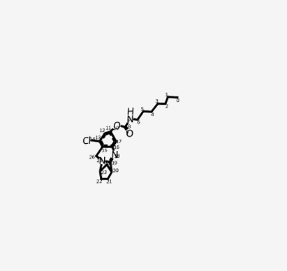 CCCCCCCNC(=O)Oc1cc(Cl)c2c(c1)N=C1C3CCC(C3)N1C2